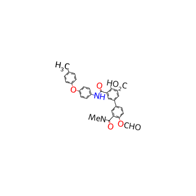 CNC(=O)c1cc(-c2ccc(C(=O)O)c(C(=O)Nc3ccc(Oc4ccc(C)cc4)cc3)c2)ccc1OC=O